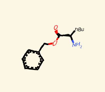 [CH2]CCCC(N)C(=O)OCc1ccccc1